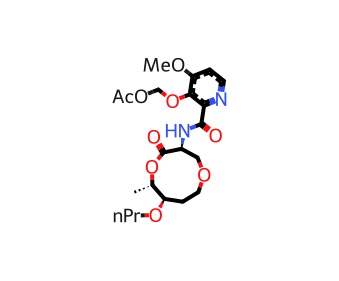 CCCO[C@@H]1CCOC[C@H](NC(=O)c2nccc(OC)c2OCOC(C)=O)C(=O)O[C@H]1C